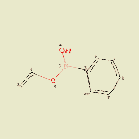 C=COB(O)c1ccccc1